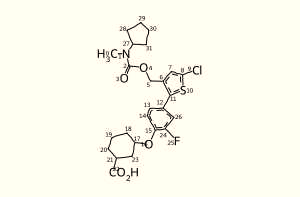 CN(C(=O)OCc1cc(Cl)sc1-c1ccc(OC2CCCC(C(=O)O)C2)c(F)c1)C1CCCC1